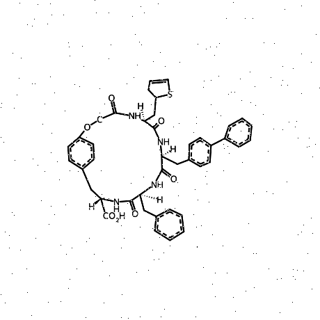 O=C1COc2ccc(cc2)C[C@@H](C(=O)O)NC(=O)[C@H](Cc2ccccc2)NC(=O)[C@H](Cc2ccc(-c3ccccc3)cc2)NC(=O)[C@H](CC2CC=CS2)N1